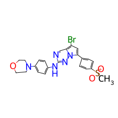 CS(=O)(=O)c1ccc(-c2cc(Br)c3cnc(Nc4ccc(N5CCOCC5)cc4)nn23)cc1